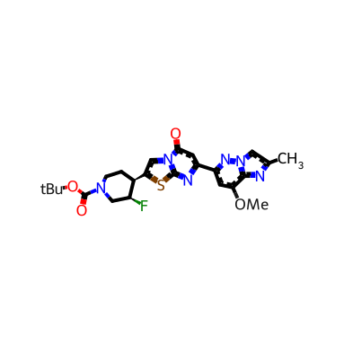 COc1cc(-c2cc(=O)n3cc([C@@H]4CCN(C(=O)OC(C)(C)C)C[C@@H]4F)sc3n2)nn2cc(C)nc12